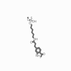 COP(O)(=S)OCCCCCCNC(=O)CCc1ccc(C(C)=O)c(N)c1